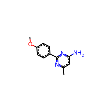 COc1ccc(-c2nc(C)cc(N)n2)cc1